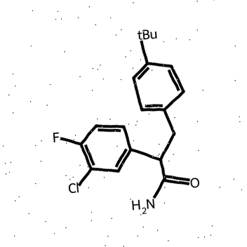 CC(C)(C)c1ccc(CC(C(N)=O)c2ccc(F)c(Cl)c2)cc1